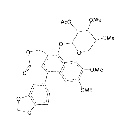 COc1cc2c(OC3OCC(OC)C(OC)C3OC(C)=O)c3c(c(-c4ccc5c(c4)OCO5)c2cc1OC)C(=O)OC3